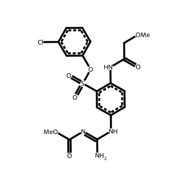 COCC(=O)Nc1ccc(NC(N)=NC(=O)OC)cc1S(=O)(=O)Oc1cccc(Cl)c1